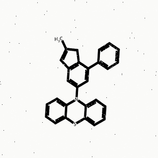 CC1=Cc2cc(N3c4ccccc4Sc4ccccc43)cc(-c3ccccc3)c2C1